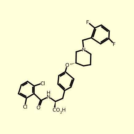 O=C(N[C@@H](Cc1ccc(O[C@H]2CCCN(Cc3cc(F)ccc3F)C2)cc1)C(=O)O)c1c(Cl)cccc1Cl